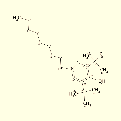 CCCCCCCCSc1cc(C(C)(C)C)c(O)c(C(C)(C)C)c1